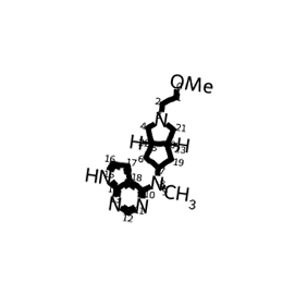 COCCN1C[C@H]2CC(N(C)c3ncnc4[nH]ccc34)C[C@H]2C1